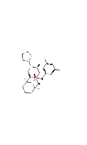 COc1cc(OC)cc(C(=O)C(=O)N2[C@@H]3CCC[C@H]2C(=O)N2CC(=O)N(C4CCCC4)C=C32)c1